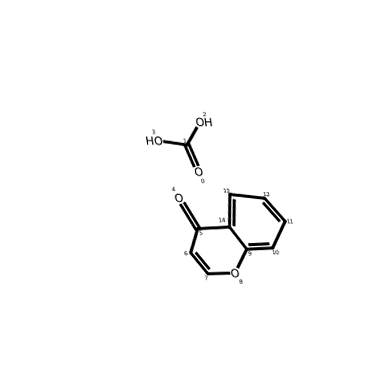 O=C(O)O.O=c1ccoc2ccccc12